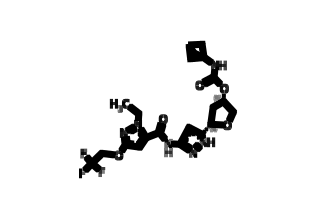 CCn1nc(OCC(F)(F)F)cc1C(=O)Nc1cc([C@@H]2C[C@H](OC(=O)NC34CC(C3)C4)CO2)[nH]n1